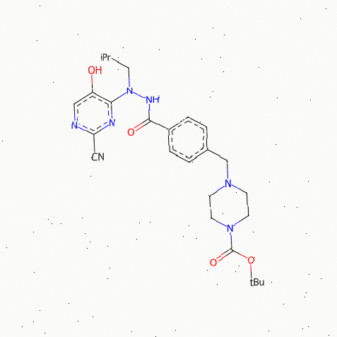 CC(C)CN(NC(=O)c1ccc(CN2CCN(C(=O)OC(C)(C)C)CC2)cc1)c1nc(C#N)ncc1O